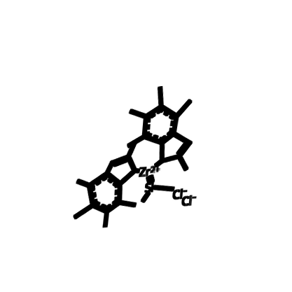 CC1=Cc2c(C)c(C)c(C)c(C)c2[CH]1[Zr+2]([CH]1C(C)=Cc2c(C)c(C)c(C)c(C)c21)=[Si](C)C.[Cl-].[Cl-]